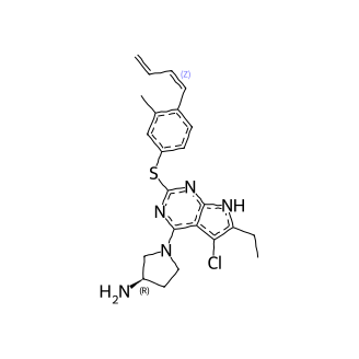 C=C/C=C\c1ccc(Sc2nc(N3CC[C@@H](N)C3)c3c(Cl)c(CC)[nH]c3n2)cc1C